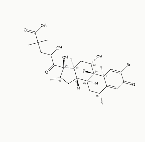 C[C@H]1C[C@H]2[C@@H]3C[C@@H](F)C4=CC(=O)C(Br)=C[C@]4(C)[C@@]3(F)[C@@H](O)C[C@]2(C)[C@@]1(O)C(=O)C(O)CC(C)(C)C(=O)O